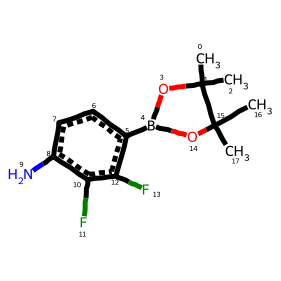 CC1(C)OB(c2ccc(N)c(F)c2F)OC1(C)C